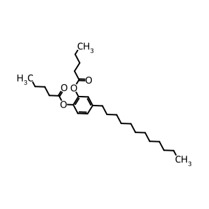 CCCCCCCCCCCCc1ccc(OC(=O)CCCC)c(OC(=O)CCCC)c1